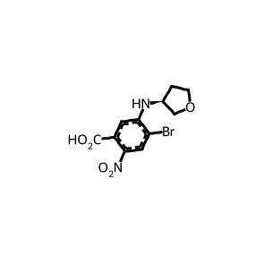 O=C(O)c1cc(N[C@H]2CCOC2)c(Br)cc1[N+](=O)[O-]